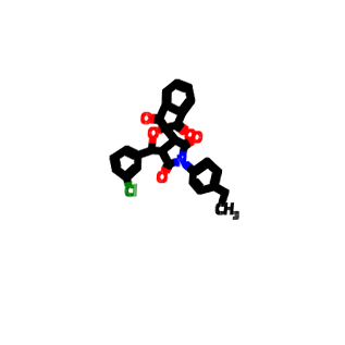 CCc1ccc(N2C(=O)C3C(c4cccc(Cl)c4)OC4(C(=O)c5ccccc5C4=O)C3C2=O)cc1